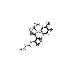 OCCNc1nonc1C1=NOC(O)N1c1ccc(F)c(Br)c1